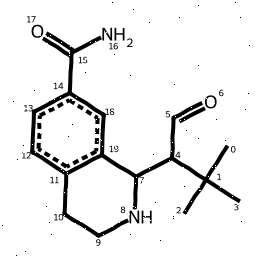 CC(C)(C)C(C=O)C1NCCc2ccc(C(N)=O)cc21